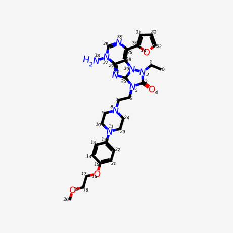 CCN1C(=O)N(CCN2CCN(c3ccc(OCCOC)cc3)CC2)C2N=C3C(=C(c4ccco4)N=CN3N)N21